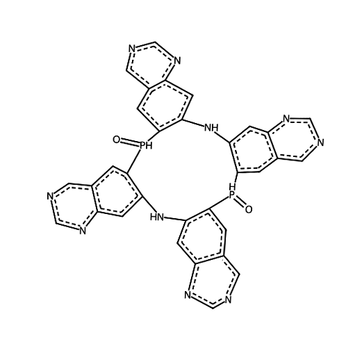 O=[PH]1c2cc3cncnc3cc2Nc2cc3ncncc3cc2[PH](=O)c2cc3cncnc3cc2Nc2cc3ncncc3cc21